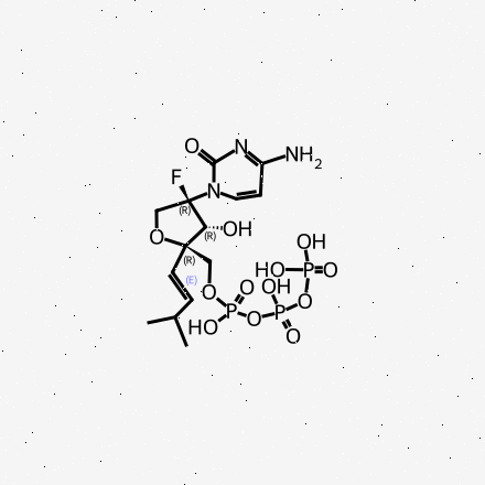 CC(C)/C=C/[C@]1(COP(=O)(O)OP(=O)(O)OP(=O)(O)O)OC[C@](F)(n2ccc(N)nc2=O)[C@@H]1O